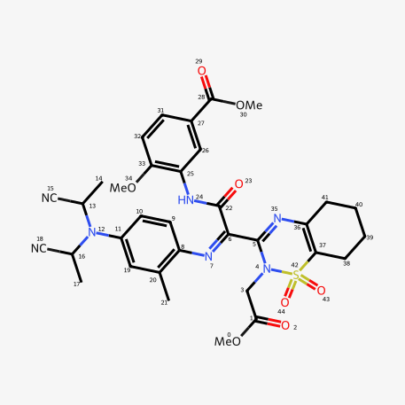 COC(=O)CN1C(/C(=N/c2ccc(N(C(C)C#N)C(C)C#N)cc2C)C(=O)Nc2cc(C(=O)OC)ccc2OC)=NC2=C(CCCC2)S1(=O)=O